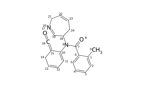 Cc1ccccc1C(=O)N(C1=CC=CCC1=C=O)C1C=NCC=CC1